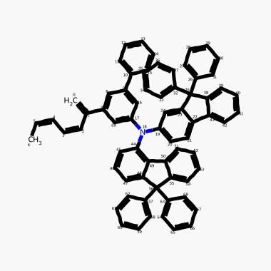 C=C(/C=C\C=C/C)c1cc(-c2ccccc2)cc(N(c2ccc3c(c2)C(c2ccccc2)(c2ccccc2)c2ccccc2-3)c2cccc3c2-c2ccccc2C3(c2ccccc2)c2ccccc2)c1